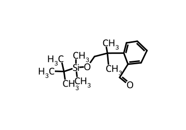 CC(C)(CO[Si](C)(C)C(C)(C)C)c1ccccc1C=O